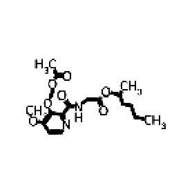 CCCCC(C)OC(=O)CNC(=O)c1nccc(OC)c1OCOC(C)=O